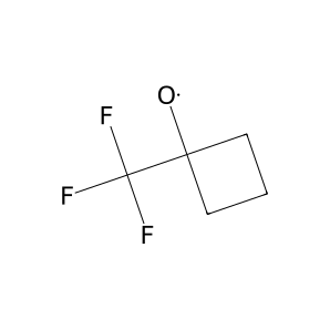 [O]C1(C(F)(F)F)CCC1